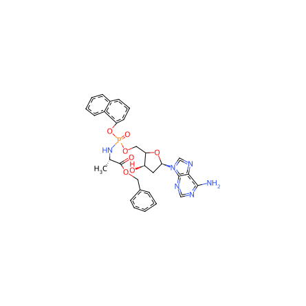 C[C@H](NP(=O)(OCC1O[C@@H](n2cnc3c(N)ncnc32)C[C@H]1O)Oc1cccc2ccccc12)C(=O)OCc1ccccc1